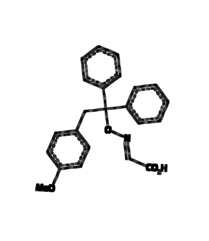 COc1ccc(CC(ON=CC(=O)O)(c2ccccc2)c2ccccc2)cc1